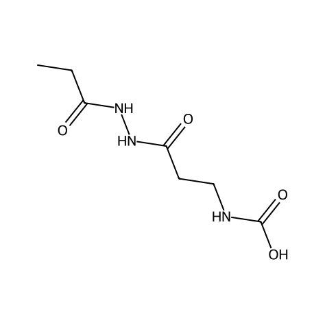 CCC(=O)NNC(=O)CCNC(=O)O